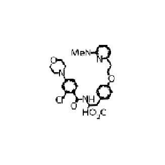 CNc1cccc(CCOc2ccc(C[C@H](NC(=O)c3ccc(N4CCOCC4)cc3Cl)C(=O)O)cc2)n1